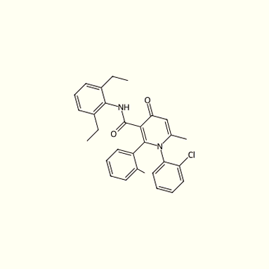 CCc1cccc(CC)c1NC(=O)c1c(-c2ccccc2C)n(-c2ccccc2Cl)c(C)cc1=O